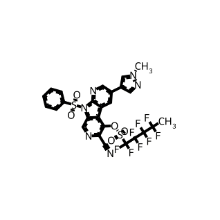 Cn1cc(-c2cnc3c(c2)c2c(OS(=O)(=O)C(F)(F)C(F)(F)C(F)(F)C(C)(F)F)c(C#N)ncc2n3S(=O)(=O)c2ccccc2)cn1